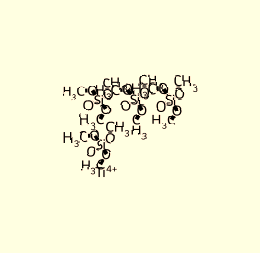 CO[Si]([O-])(OC)OC.CO[Si]([O-])(OC)OC.CO[Si]([O-])(OC)OC.CO[Si]([O-])(OC)OC.[Ti+4]